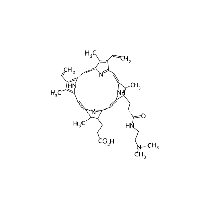 C=CC1=C(C)c2cc3[nH]c(cc4nc(cc5[nH]c(cc1n2)c(C)c5CCC(=O)NCCN(C)C)C(CCC(=O)O)C4C)c(C)c3C=C